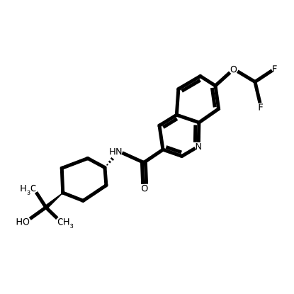 CC(C)(O)[C@H]1CC[C@H](NC(=O)c2cnc3cc(OC(F)F)ccc3c2)CC1